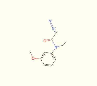 CCN(C(=O)C=[N+]=[N-])c1cccc(OC)c1